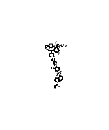 C=CC(=O)N1CCc2c1cccc2S(=O)(=O)c1ccc(N2CC(F)(CN3CCC(C(CN4CCC4)(c4cccc(F)c4)[C@H]4CCC[C@@H]4NC(=O)OC)CC3)C2)c(F)c1